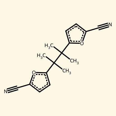 CC(C)(c1ccc(C#N)o1)C(C)(C)c1ccc(C#N)o1